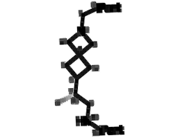 CCCC(C)CN1CC2(CC([C@@H](C)CNC(C)CCC)C2)C1